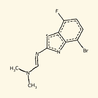 CN(C)/C=N/c1nc2c(Br)ccc(F)c2s1